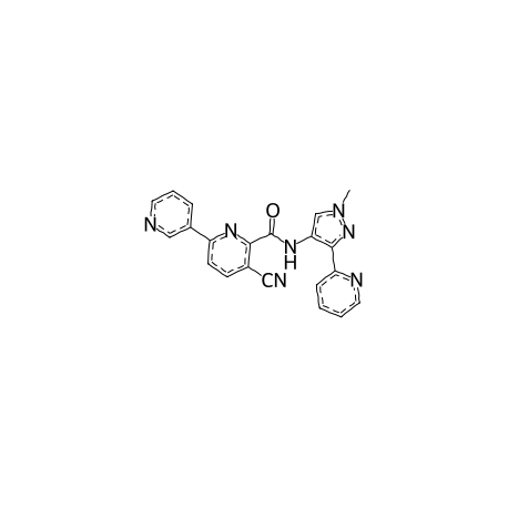 Cn1cc(NC(=O)c2nc(-c3cccnc3)ccc2C#N)c(-c2ccccn2)n1